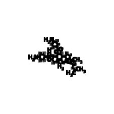 CC(C)CCCC(C)C1CCC2C3CC(OC(=O)c4ccc(N)cc4)C4CC(OC(O)c5ccc(N)cc5)CCC4(C)C3CCC12C